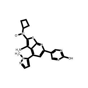 Cn1nccc1-c1cc(-c2cnc(O)nc2)nc2sc([S+]([O-])C3CCC3)c(N)c12